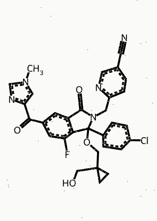 Cn1cnc(C(=O)c2cc(F)c3c(c2)C(=O)N(Cc2ccc(C#N)cn2)C3(OCC2(CO)CC2)c2ccc(Cl)cc2)c1